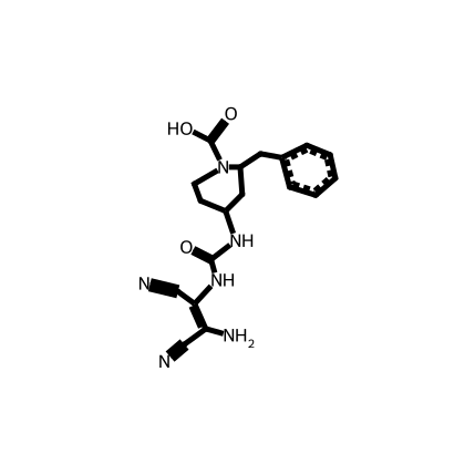 N#CC(N)=C(C#N)NC(=O)NC1CCN(C(=O)O)C(Cc2ccccc2)C1